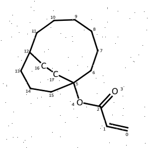 C=CC(=O)OC12CCCCCCC(CCC1)CC2